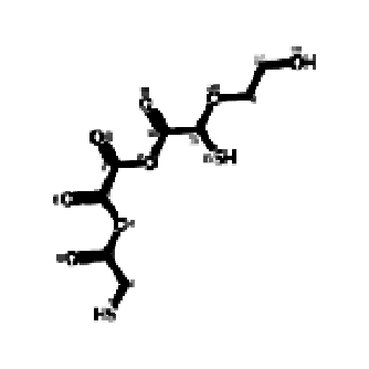 O=C(CS)OC(=O)C(=O)OC(=O)C(S)OCCO